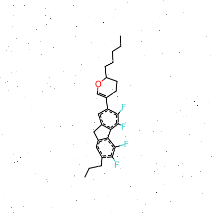 CCCCCC1CCC(c2cc3c(c(F)c2F)-c2c(cc(CCC)c(F)c2F)C3)=CO1